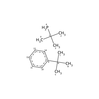 CC(C)(C)P.CC(C)(C)c1ccccc1